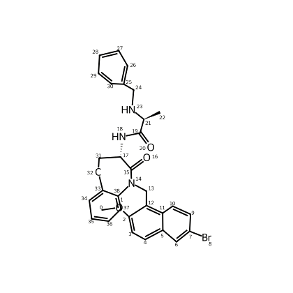 COc1ccc2cc(Br)ccc2c1CN1C(=O)[C@@H](NC(=O)[C@H](C)NCc2ccccc2)CCc2ccccc21